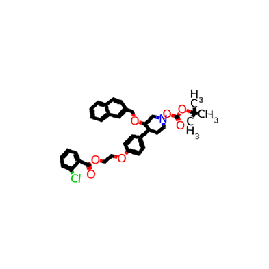 CC(C)(C)OC(=O)ON1CCC(c2ccc(OCCOC(=O)c3ccccc3Cl)cc2)C(OCc2ccc3ccccc3c2)C1